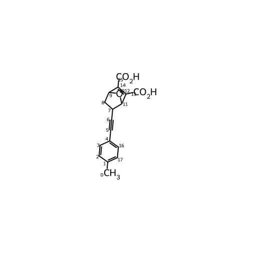 Cc1ccc(C#CC2CC3OC2C(C(=O)O)=C3C(=O)O)cc1